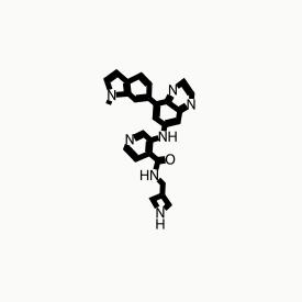 Cn1ccc2ccc(-c3cc(Nc4cnccc4C(=O)NCC4CNC4)cc4nccnc34)cc21